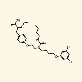 CCCCNC(=O)N(CCCCOc1cc(Cl)cc(Cl)c1)CCOc1ccc(CC(OCC)C(=O)O)cc1